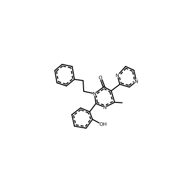 Cc1nc(-c2ccccc2O)n(CCc2ccccc2)c(=O)c1-c1cnccn1